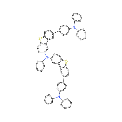 c1ccc(N(c2ccccc2)c2ccc(-c3ccc4sc5ccc(N(c6ccccc6)c6ccc7sc8ccc(-c9ccc(N(c%10ccccc%10)c%10ccccc%10)cc9)cc8c7c6)cc5c4c3)cc2)cc1